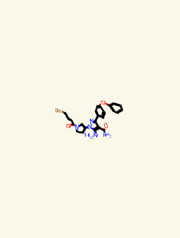 NC(=O)c1c(-c2ccc(Oc3ccccc3)cc2)nn(C2CCN(C(=O)C=CCBr)C2)c1N